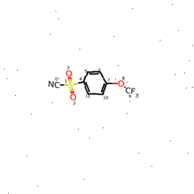 N#CS(=O)(=O)c1ccc(OC(F)(F)F)cc1